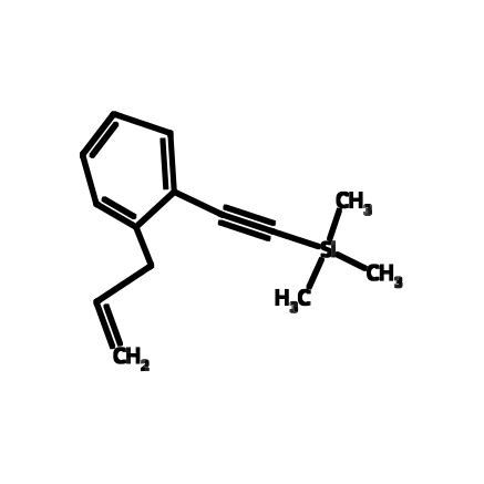 C=CCc1ccccc1C#C[Si](C)(C)C